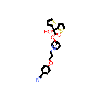 N#Cc1ccc(OCCC[N+]23CCC(CC2)C(OC(=O)C(O)(c2cccs2)c2cccs2)C3)cc1